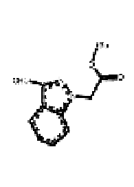 CC(C)(C)OC(=O)Cn1nc(C=O)c2ccccc21